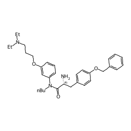 CCCCN(C(=O)[C@H](N)Cc1ccc(OCc2ccccc2)cc1)c1cccc(OCCCN(CC)CC)c1